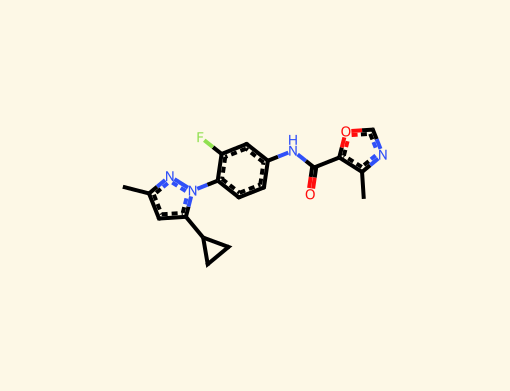 Cc1cc(C2CC2)n(-c2ccc(NC(=O)c3ocnc3C)cc2F)n1